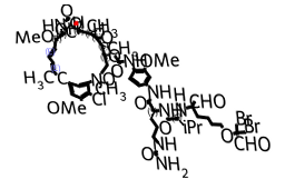 COc1cc(NC(=O)[C@H](CCCNC(N)=O)NC(=O)[C@@H](NC(C=O)CCCCOC(C=O)(CBr)CBr)C(C)C)ccc1NC(=O)O[C@H]1CC(=O)N(C)c2cc(cc(OC)c2Cl)C/C(C)=C/C=C/[C@@H](OC)[C@@]2(O)C[C@H](OC(=O)N2)[C@@H](C)[C@@H]2O[C@@]12C